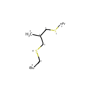 CCCSCC(C)CSCC(C)CC